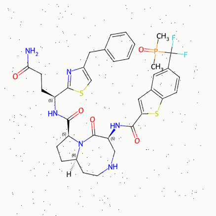 CP(C)(=O)C(F)(F)c1ccc2sc(C(=O)N[C@H]3CNCC[C@H]4CC[C@@H](C(=O)N[C@@H](CCC(N)=O)c5nc(Cc6ccccc6)cs5)N4C3=O)cc2c1